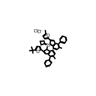 Cc1ccc(C2=Cc3c(ccc(C)c3-c3ccccc3)[CH]2[Zr+2](=[C]2CCC2)[CH]2C(c3ccc(C(C)(C)C)o3)=Cc3c2ccc(C)c3-c2ccccc2)o1.[Cl-].[Cl-]